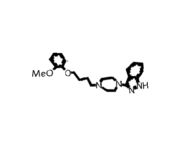 COc1ccc[c]c1OCCCCN1CCN(c2n[nH]c3ccccc23)CC1